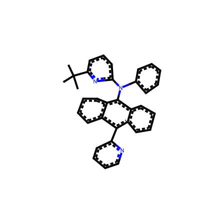 CC(C)(C)c1cccc(N(c2ccccc2)c2c3ccccc3c(-c3ccccn3)c3ccccc23)n1